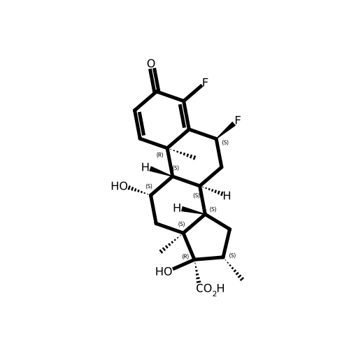 C[C@H]1C[C@H]2[C@@H]3C[C@H](F)C4=C(F)C(=O)C=C[C@]4(C)[C@H]3[C@@H](O)C[C@]2(C)[C@@]1(O)C(=O)O